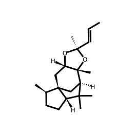 C/C=C/[C@]1(C)O[C@H]2C[C@@]34C[C@H](C(C)(C)[C@@H]3CC[C@H]4C)[C@@]2(C)O1